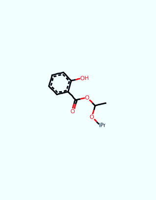 CC(C)OC(C)OC(=O)c1ccccc1O